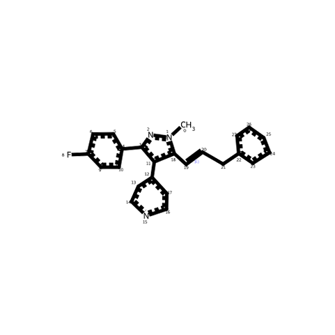 Cn1nc(-c2ccc(F)cc2)c(-c2ccncc2)c1/C=C/Cc1ccccc1